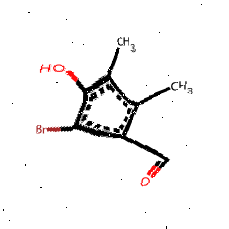 Cc1c(C=O)cc(Br)c(O)c1C